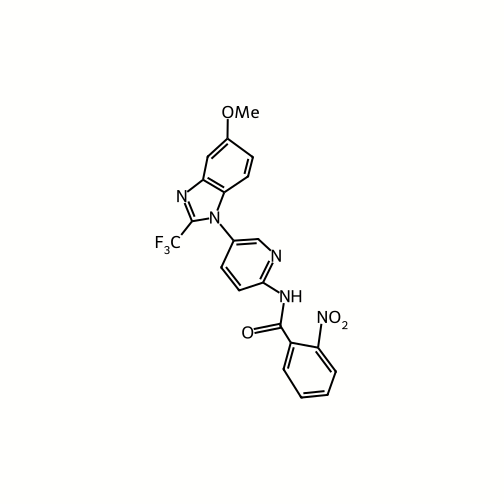 COc1ccc2c(c1)nc(C(F)(F)F)n2-c1ccc(NC(=O)c2ccccc2[N+](=O)[O-])nc1